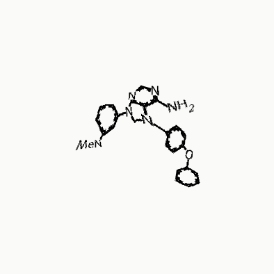 CNc1cccc(N2CN(c3ccc(Oc4ccccc4)cc3)c3c(N)ncnc32)c1